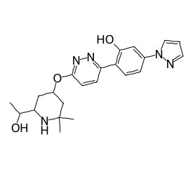 CC(O)C1CC(Oc2ccc(-c3ccc(-n4cccn4)cc3O)nn2)CC(C)(C)N1